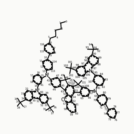 CCCCCCc1ccc(-c2ccc(N(c3cccc(-n4c5ccc(C(C)(C)C)cc5c5cc(C(C)(C)C)ccc54)c3)c3ccc4c(c3)C(C)(C)c3c5c(c6c(oc7ccccc76)c3-4)-c3ccc(N(c4ccc(-c6ccccc6)cc4)c4cccc(-n6c7ccc(C(C)(C)C)cc7c7cc(C(C)(C)C)ccc76)c4)cc3C5(C)C)cc2)cc1